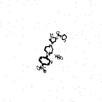 Cl.Cl.O=C([C@@H]1C[C@H](N2CCN(c3ccc([N+](=O)[O-])cn3)CC2)CN1)N1CCSC1